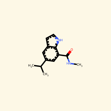 CNC(=O)c1cc(C(C)C)cc2cc[nH]c12